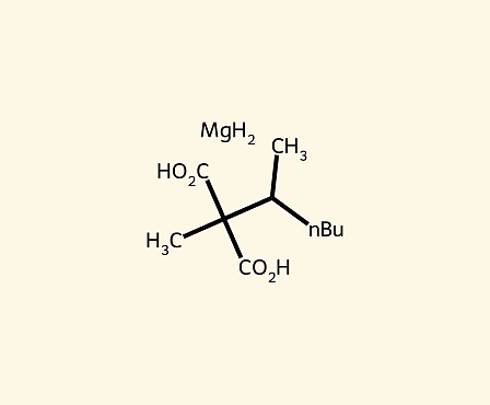 CCCCC(C)C(C)(C(=O)O)C(=O)O.[MgH2]